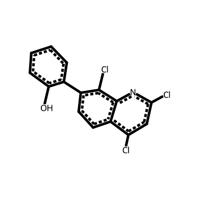 Oc1ccccc1-c1ccc2c(Cl)cc(Cl)nc2c1Cl